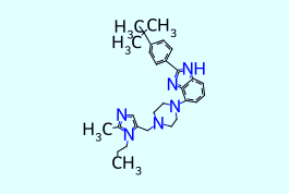 CCCn1c(CN2CCN(c3cccc4[nH]c(-c5ccc(C(C)(C)C)cc5)nc34)CC2)cnc1C